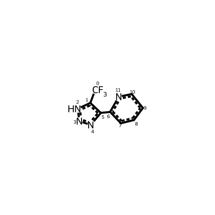 FC(F)(F)c1[nH]nnc1-c1ccccn1